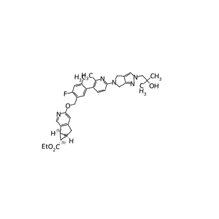 CCOC(=O)[C@H]1[C@@H]2Cc3cc(OCc4cc(-c5ccc(N6Cc7cn(CC(C)(C)O)nc7C6)nc5C)c(C)cc4F)ncc3[C@@H]21